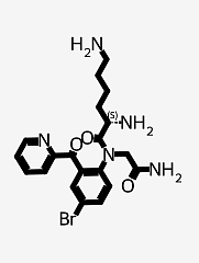 NCCCC[C@H](N)C(=O)N(CC(N)=O)c1ccc(Br)cc1C(=O)c1ccccn1